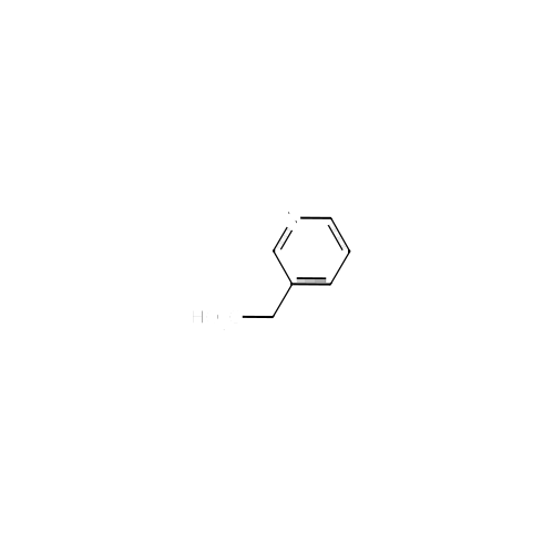 O=C(O)Cc1[c]nccc1